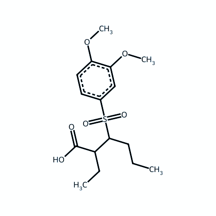 CCCC(C(CC)C(=O)O)S(=O)(=O)c1ccc(OC)c(OC)c1